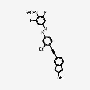 CCCC1=Cc2ccc(C#Cc3ccc(N=Nc4cc(F)c(N=C=S)c(F)c4)cc3CC)cc2C1